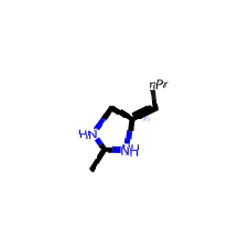 CCC/C=C1\CNC(C)N1